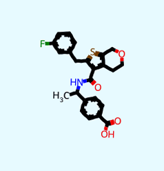 CC(NC(=O)c1c(Cc2cccc(F)c2)sc2c1CCOC2)c1ccc(C(=O)O)cc1